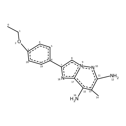 CCOc1ccc(-c2cn3nc(N)c(C)c(N)c3n2)cc1